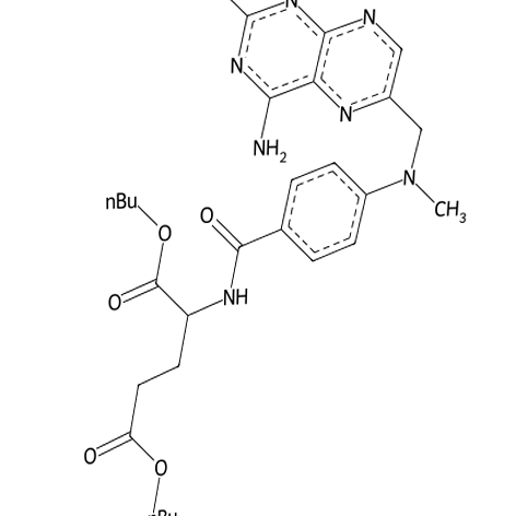 CCCCOC(=O)CCC(NC(=O)c1ccc(N(C)Cc2cnc3nc(N)nc(N)c3n2)cc1)C(=O)OCCCC